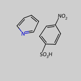 O=[N+]([O-])c1ccc(S(=O)(=O)O)cc1.c1ccncc1